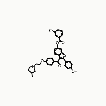 CC1CCN(CCOc2ccc(C(=O)c3c(-c4ccc(O)cc4)sc4cc(OC(=O)c5cccc(Cl)c5)ccc34)cc2)C1